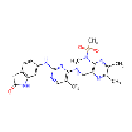 Cc1nc(CNc2nc(Nc3ccc4c(c3)NC(=O)C4)ncc2C(F)(F)F)c(N(C)S(C)(=O)=O)nc1C